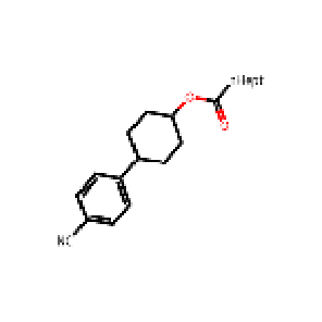 CCCCCCCC(=O)OC1CCC(c2ccc(C#N)cc2)CC1